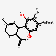 C=C(C)C1CCC(C)=CC1c1c(O)cc(CCCCC)c(C#N)c1O